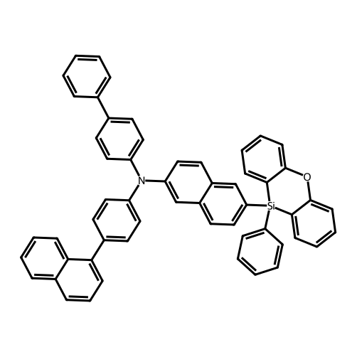 c1ccc(-c2ccc(N(c3ccc(-c4cccc5ccccc45)cc3)c3ccc4cc([Si]5(c6ccccc6)c6ccccc6Oc6ccccc65)ccc4c3)cc2)cc1